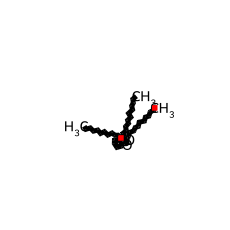 CCCCCCCCCCC[CH2][Ti]([CH2]CCCCCCCCCCC)([CH2]CCCCCCCCCCC)[S](=O)(=O)c1ccccc1